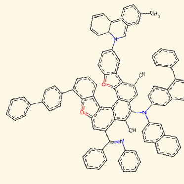 Cc1ccc2c(c1)=CN(c1ccc3oc4c(c(C#N)cc5c(N(c6ccc7ccccc7c6)c6ccc7c(-c8ccccc8)cccc7c6)c(C#N)c6c(/C(=N/c7ccccc7)c7ccccc7)cc7oc8c(-c9ccc(-c%10ccccc%10)cc9)cccc8c7c6c54)c3c1)C1C=CC=CC=21